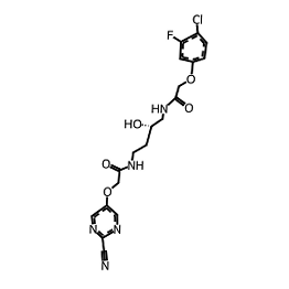 N#Cc1ncc(OCC(=O)NCC[C@H](O)CNC(=O)COc2ccc(Cl)c(F)c2)cn1